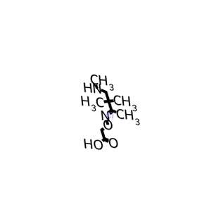 CNCC(C)(C)/C(C)=N/OCC(=O)O